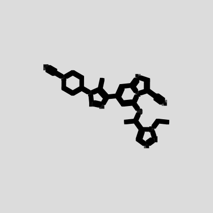 CCn1nncc1C(C)Oc1cc(-c2nnn(C3CCN(C#N)CC3)c2C)cc2ncc(C#N)n12